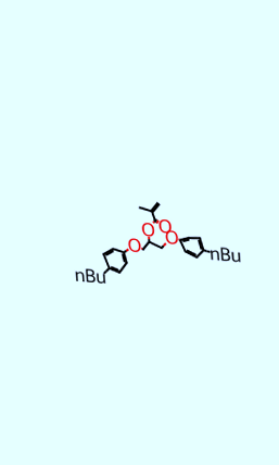 C=C(C)C(=O)OC(COc1ccc(CCCC)cc1)COc1ccc(CCCC)cc1